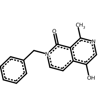 Cc1ncc(O)c2ccn(Cc3ccccc3)c(=O)c12